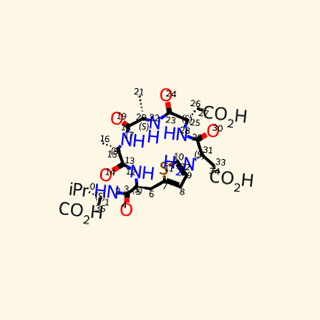 CC(C)[C@H](NC(=O)[C@H](Cc1cccs1)NC(=O)[C@H](C)NC(=O)[C@H](C)NC(=O)[C@H](CC(=O)O)NC(=O)[C@@H](N)CC(=O)O)C(=O)O